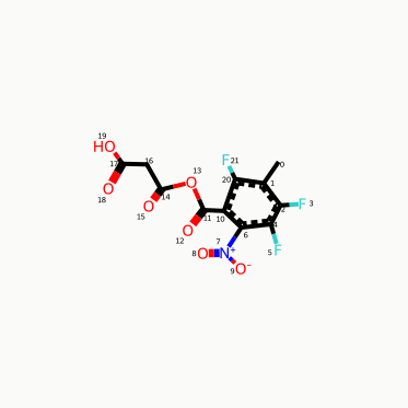 Cc1c(F)c(F)c([N+](=O)[O-])c(C(=O)OC(=O)CC(=O)O)c1F